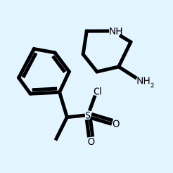 CC(c1ccccc1)S(=O)(=O)Cl.NC1CCCNC1